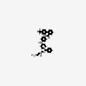 CCCNCOC(c1ccccc1)N1CCC(Nc2ccc(NC(=O)c3ccccc3-c3ccc(C(F)(F)F)cc3)cc2)CC1